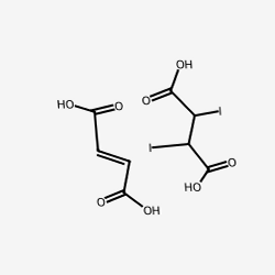 O=C(O)C(I)C(I)C(=O)O.O=C(O)C=CC(=O)O